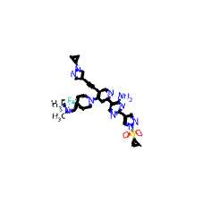 CN(C)CC1(F)CCN(c2cc(-c3cnc(-c4cnn(S(=O)(=O)C5CC5)c4)nc3N)ncc2C#Cc2cnn(C3CC3)c2)CC1